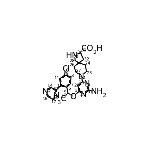 Nc1nc(O[C@H](c2ccc(Cl)cc2-c2cnccn2)C(F)(F)F)cc(N2CCC3(CC2)CN[C@H](C(=O)O)C3)n1